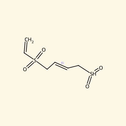 C=CS(=O)(=O)C/C=C/C[SH](=O)=O